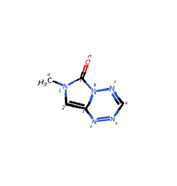 Cn1cc2nncnn2c1=O